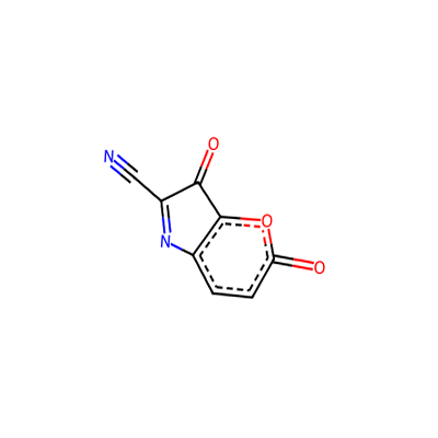 N#CC1=Nc2ccc(=O)oc2C1=O